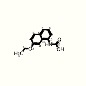 CCOc1ccc2cccc(NC(=O)O)c2c1